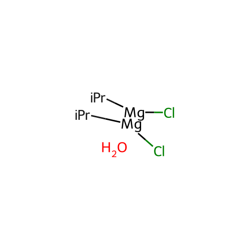 C[CH](C)[Mg][Cl].C[CH](C)[Mg][Cl].O